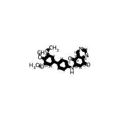 COc1cc(-c2ccc(NC3=CC(=O)c4ncncc4C3=O)cc2)cc(OC)c1OC